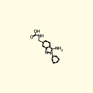 Nc1c2ccc(CNC(=O)O)cc2nn1-c1ccccc1